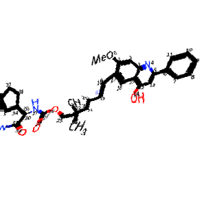 COc1cc2nc(-c3ccccc3)cc(O)c2cc1/C=C/CCC(C)(C)COC(=O)N[C@H](C(N)=O)C1CCCC1